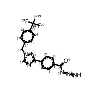 N=[N+]=NC(=O)c1ccc(-c2ncn(Cc3ccc(C(F)(F)F)cc3)n2)cc1